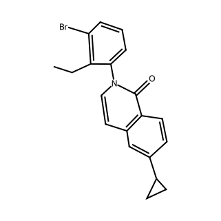 CCc1c(Br)cccc1-n1ccc2cc(C3CC3)ccc2c1=O